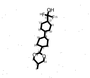 CC1COC(C2CCC(C3CCC(C(O)(F)F)CC3)CC2)OC1